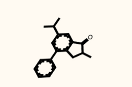 CC1Cc2c(cc(C(C)C)cc2-c2ccccc2)C1=O